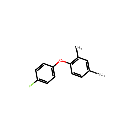 Cc1cc([N+](=O)[O-])ccc1Oc1ccc(F)cc1